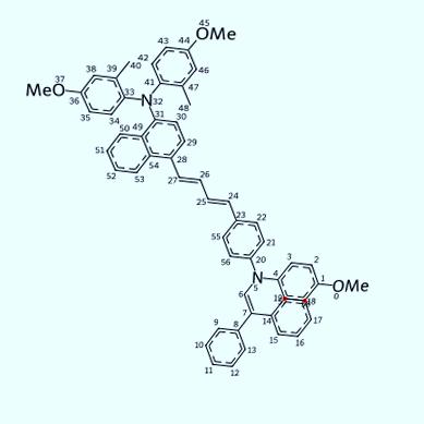 COc1ccc(N(C=C(c2ccccc2)c2ccccc2)c2ccc(/C=C/C=C/c3ccc(N(c4ccc(OC)cc4C)c4ccc(OC)cc4C)c4ccccc34)cc2)cc1